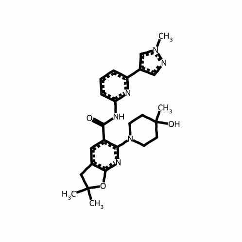 Cn1cc(-c2cccc(NC(=O)c3cc4c(nc3N3CCC(C)(O)CC3)OC(C)(C)C4)n2)cn1